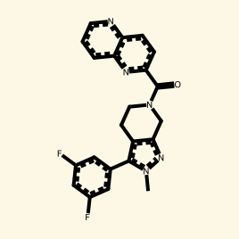 Cn1nc2c(c1-c1cc(F)cc(F)c1)CCN(C(=O)c1ccc3ncccc3n1)C2